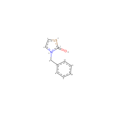 O=c1sccn1Cc1ccccc1